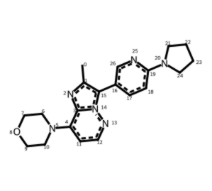 Cc1nc2c(N3CCOCC3)ccnn2c1-c1ccc(N2CCCC2)nc1